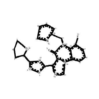 O=c1c2c(-c3noc(C4CCCO4)n3)ncn2c2cccc(F)c2n1Cc1ccccn1